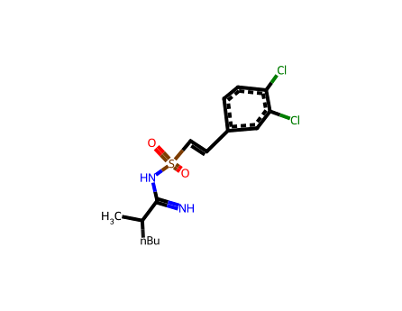 CCCCC(C)C(=N)NS(=O)(=O)C=Cc1ccc(Cl)c(Cl)c1